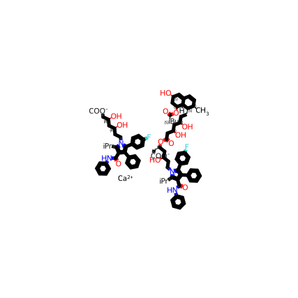 CC(C)c1c(C(=O)Nc2ccccc2)c(-c2ccccc2)c(-c2ccc(F)cc2)n1CC[C@@H](O)C[C@@H](O)CC(=O)[O-].CC[C@H](C)C(=O)O[C@H]1C[C@H](O)C=C2C=C[C@H](C)[C@H](CC[C@@H](O)C[C@@H](O)CC(=O)O[C@@H](CC(=O)[O-])C[C@H](O)CCn3c(-c4ccc(F)cc4)c(-c4ccccc4)c(C(=O)Nc4ccccc4)c3C(C)C)[C@H]21.[Ca+2]